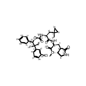 COC(=O)[C@H](C[C@@H]1CCNC1=O)NC(=O)[C@H](CC1(C)CC1)NC(=O)OC(c1ccccc1)C(F)(F)c1cccc(Cl)c1